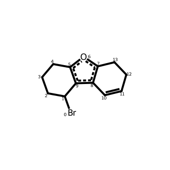 BrC1CCCc2oc3c(c21)C=CCC3